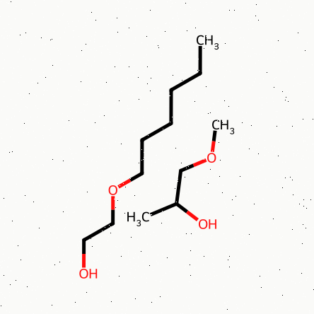 CCCCCCOCCO.COCC(C)O